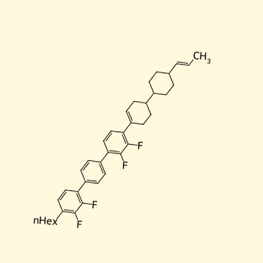 C/C=C/C1CCC(C2CC=C(c3ccc(-c4ccc(-c5ccc(CCCCCC)c(F)c5F)cc4)c(F)c3F)CC2)CC1